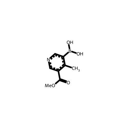 COC(=O)c1cncc(B(O)O)c1C